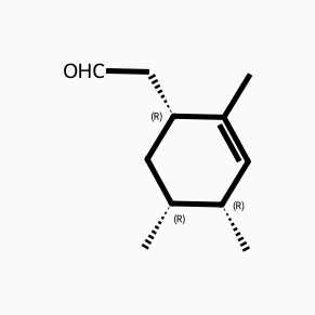 CC1=C[C@H](C)[C@H](C)C[C@@H]1CC=O